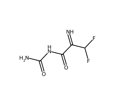 N=C(C(=O)NC(N)=O)C(F)F